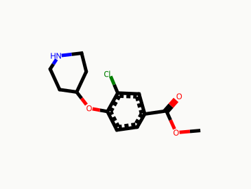 COC(=O)c1ccc(OC2CCNCC2)c(Cl)c1